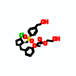 O=C(COc1cccc(C[C@H]2CCC(Cl)[C@@H]2CS(=O)(=O)c2ccc(CCO)cc2)c1)OCCO